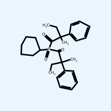 CCC(C)(C(=O)P(=O)(C(=O)C(C)(CC)c1ccccc1)C1CCCCC1)c1ccccc1